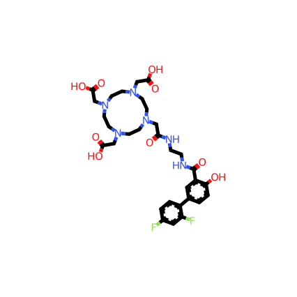 O=C(O)CN1CCN(CC(=O)O)CCN(CC(=O)NCCNC(=O)c2cc(-c3ccc(F)cc3F)ccc2O)CCN(CC(=O)O)CC1